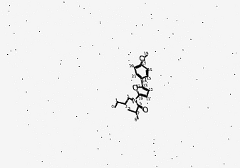 CCCCN(C(=O)C(C)C)c1ccc(-c2ccc(OC)cc2)o1